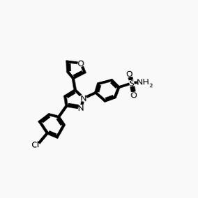 NS(=O)(=O)c1ccc(-n2nc(-c3ccc(Cl)cc3)cc2-c2ccoc2)cc1